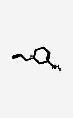 C=CC[C@H]1CCC=C(N)C1